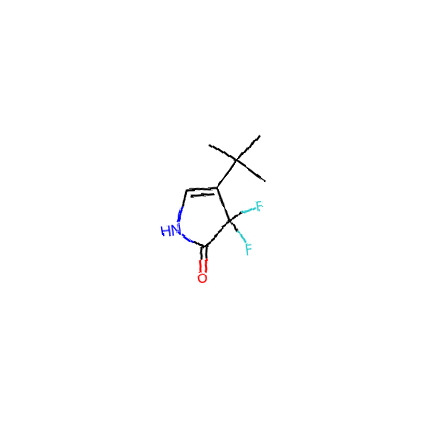 CC(C)(C)C1=CNC(=O)C1(F)F